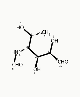 C[C@@H](O)[C@@H](NC=O)[C@H](O)[C@@H](O)C=O